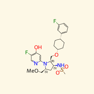 COC[C@@H]1C[C@H](NS(C)(=O)=O)[C@H](CO[C@H]2CC[C@@H](c3cccc(F)c3)CC2)N1c1cc(O)c(F)cn1